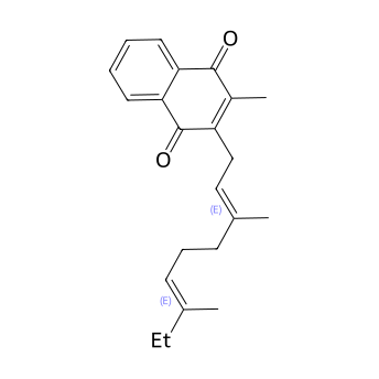 CC/C(C)=C/CC/C(C)=C/CC1=C(C)C(=O)c2ccccc2C1=O